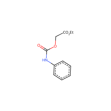 CCOC(=O)COC(=O)Nc1ccccc1